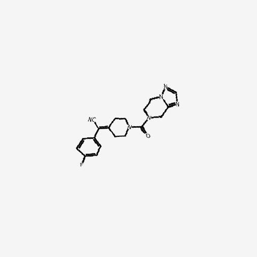 N#CC(=C1CCN(C(=O)N2CCn3ncnc3C2)CC1)c1ccc(F)cc1